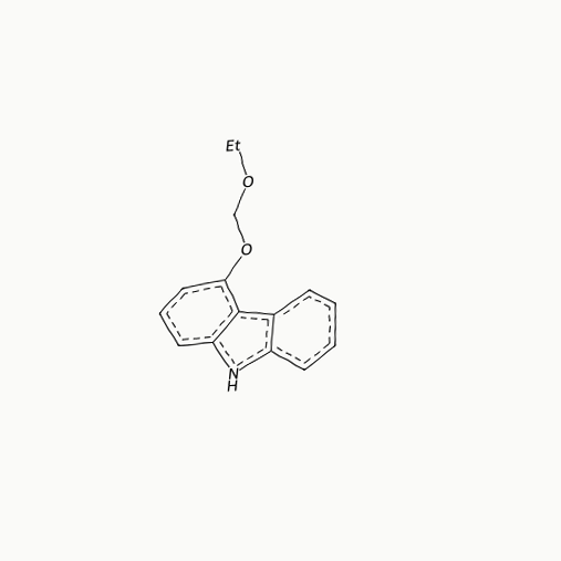 CCOCOc1cccc2[nH]c3ccccc3c12